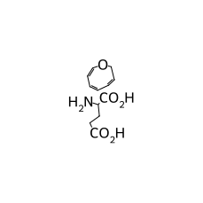 C1=CC=COCC=C1.NC(CCC(=O)O)C(=O)O